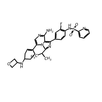 CC(C)c1nc(-c2ccc(NS(=O)(=O)c3ccccn3)c(F)c2)c2c(N)ncc(C3=CCC(NC4COC4)CC3)n12